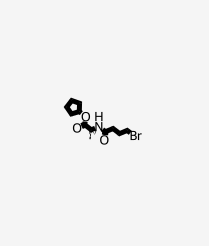 C[C@@H](NC(=O)CCCBr)C(=O)OC1CCCC1